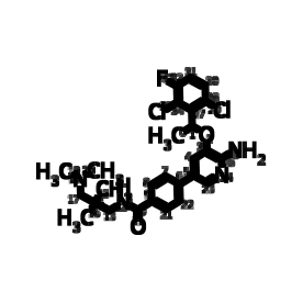 CC(Oc1cc(-c2ccc(C(=O)NCC(C)(C)CN(C)C)cc2)cnc1N)c1c(Cl)ccc(F)c1Cl